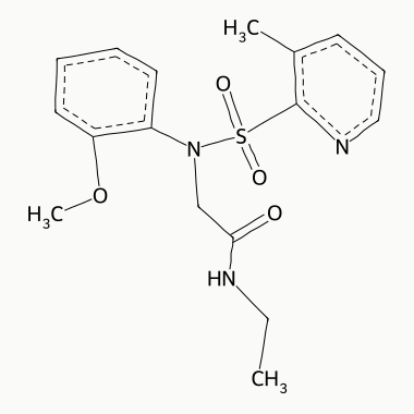 CCNC(=O)CN(c1ccccc1OC)S(=O)(=O)c1ncccc1C